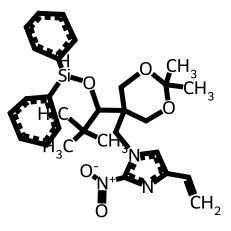 C=Cc1cn(CC2(C(O[SiH](c3ccccc3)c3ccccc3)C(C)(C)C)COC(C)(C)OC2)c([N+](=O)[O-])n1